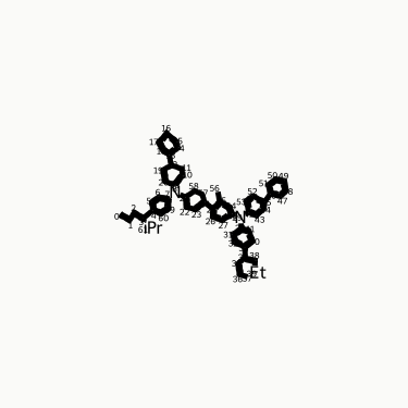 C=C/C=C(/c1ccc(N(C2=CCC(c3ccccc3)C=C2)C2=CC=C(c3ccc(N(c4ccc(C(/C=C\C)=C/CC)cc4)c4ccc(-c5ccccc5)cc4)cc3C)CC2)cc1)C(C)C